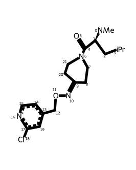 CN[C@@H](CC(C)C)C(=O)N1CCC(=NOCc2ccnc(Cl)c2)CC1